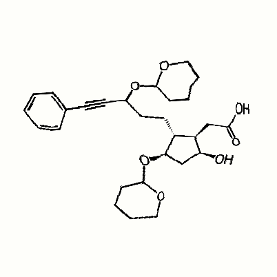 O=C(O)C[C@@H]1[C@@H](CCC(C#Cc2ccccc2)OC2CCCCO2)[C@H](OC2CCCCO2)C[C@@H]1O